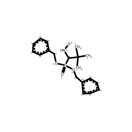 CC(C)(C)C(N[O])P(=O)(OCc1ccccc1)OCc1ccccc1